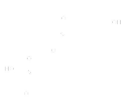 Cc1ccc(S(=O)(=O)O)cc1.O=S(=O)(CCCO)c1ccccc1